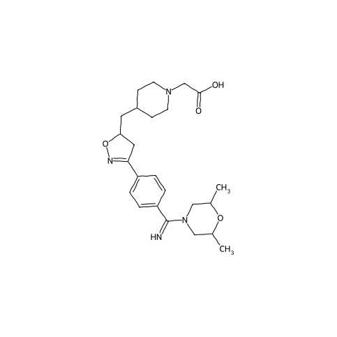 CC1CN(C(=N)c2ccc(C3=NOC(CC4CCN(CC(=O)O)CC4)C3)cc2)CC(C)O1